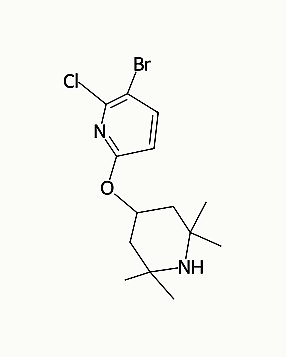 CC1(C)CC(Oc2ccc(Br)c(Cl)n2)CC(C)(C)N1